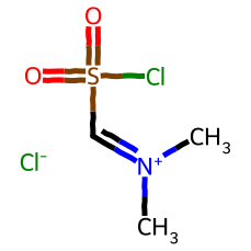 C[N+](C)=CS(=O)(=O)Cl.[Cl-]